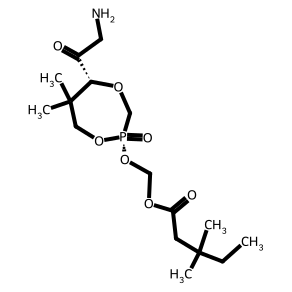 CCC(C)(C)CC(=O)OCO[P@@]1(=O)CO[C@@H](C(=O)CN)C(C)(C)CO1